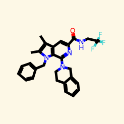 Cc1c(C)n(Cc2ccccc2)c2c(N3CCc4ccccc4C3)nc(C(=O)NCC(F)(F)F)cc12